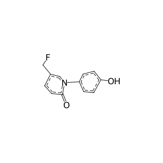 O=c1ccc(CF)cn1-c1ccc(O)cc1